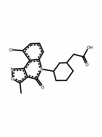 Cc1onc2c1c(=O)n(C1CCCC(CC(=O)O)C1)c1cccc(Cl)c21